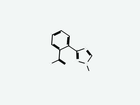 Cn1cnc(-c2ccccc2C(N)=O)n1